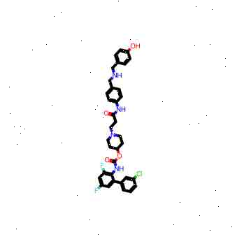 O=C(CCN1CCC(OC(=O)Nc2c(F)cc(F)cc2-c2cccc(Cl)c2)CC1)Nc1ccc(CNCc2ccc(O)cc2)cc1